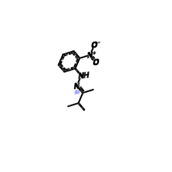 C/C(=N\Nc1ccccc1[N+](=O)[O-])C(C)C